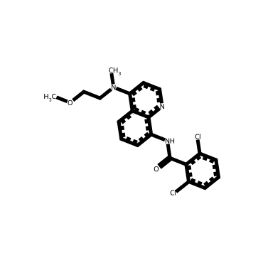 COCCN(C)c1ccnc2c(NC(=O)c3c(Cl)cccc3Cl)cccc12